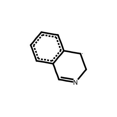 [CH]1CN=Cc2ccccc21